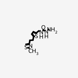 Cc1nc(CCc2ccc(CNC(=O)NN)s2)cs1